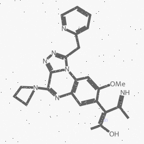 COc1cc2c(cc1/C(C(C)=N)=C(\C)O)nc(N1CCC1)c1nnc(Cc3ccccn3)n12